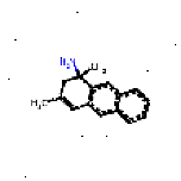 CC1=Cc2cc3ccccc3cc2C(C)(N)C1